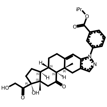 CC(C)OC(=O)c1cccc(-n2ncc3c2C=C2CC[C@@H]4[C@H](C(=O)C[C@@]5(C)[C@H]4CC[C@]5(O)C(=O)CO)[C@@]2(C)C3)c1